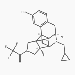 O=C(N1C[C@H]2C[C@@]34CCC1C2[C@@]31CCN(CC2CC2)[C@@H]4Cc2ccc(O)cc21)C(F)(F)F